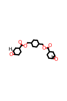 O=C(OCC1CCC(COC(=O)C2CCC3O[C@H]3C2)CC1)C1CCC2O[C@H]2C1